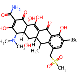 C[C@@H]1c2c(CS(C)(=O)=O)cc(C(C)(C)C)c(O)c2C(=O)C2=C(O)[C@]3(O)C(=O)C(C(N)=O)=C(O)[C@H](N(C)C)[C@@H]3[C@@H](O)[C@H]21